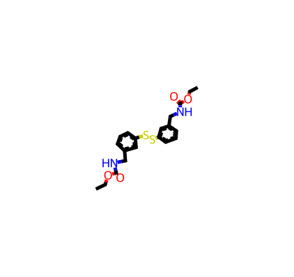 CCOC(=O)NCc1cccc(SSc2cccc(CNC(=O)OCC)c2)c1